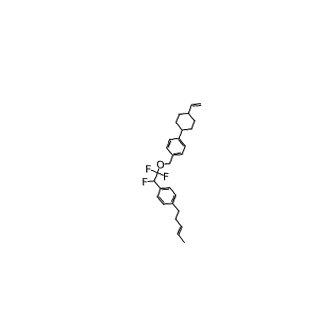 C=CC1CCC(c2ccc(COC(F)(F)C(F)c3ccc(CCC=CC)cc3)cc2)CC1